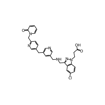 O=C(O)CCn1nc(CNCc2cncc(Cc3ccc(Cn4ccccc4=O)nc3)c2)c2cc(Cl)ccc21